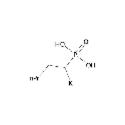 CCCC[CH]([K])P(=O)(O)O